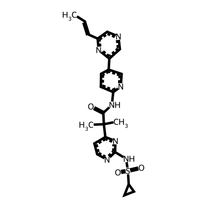 CC=Cc1cncc(-c2ccc(NC(=O)C(C)(C)c3ccnc(NS(=O)(=O)C4CC4)n3)nc2)n1